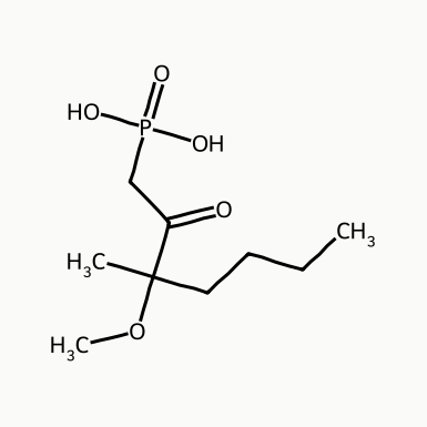 CCCCC(C)(OC)C(=O)CP(=O)(O)O